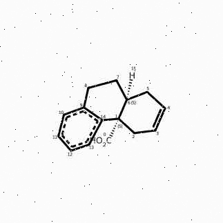 O=C(O)[C@@]12CC=CC[C@@H]1CCc1ccccc12